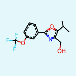 CC(C)c1oc(-c2cccc(OC(F)(F)F)c2)nc1CO